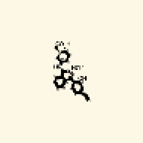 C#Cc1ccc(-c2nnc(NC3CCCN(CC(=O)O)C3)c3ccccc23)c(O)c1.Cl